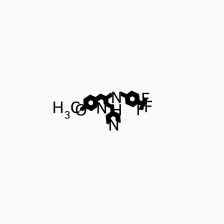 COc1ccc2cc(CNCc3ccc(C(F)(F)F)cc3)c(Cc3ccncc3)nc2c1